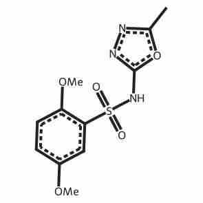 COc1ccc(OC)c(S(=O)(=O)Nc2nnc(C)o2)c1